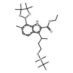 CCOC(=O)c1[nH]c2c(B3OC(C)(C)C(C)(C)O3)c(C)ccc2c1C(C)CCO[Si](C)(C)C(C)(C)C